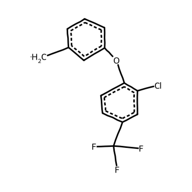 [CH2]c1cccc(Oc2ccc(C(F)(F)F)cc2Cl)c1